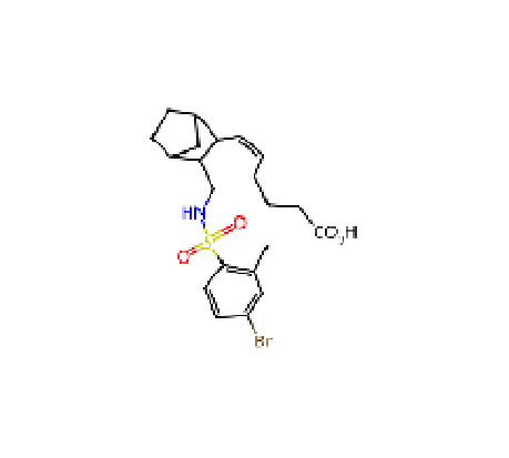 Cc1cc(Br)ccc1S(=O)(=O)NCC1C2CCC(C2)C1/C=C\CCCC(=O)O